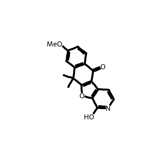 COc1ccc2c(c1)C(C)(C)c1oc3c(O)nccc3c1C2=O